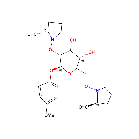 COc1ccc(O[C@@H]2OC(CON3CCC[C@H]3C=O)[C@@H](O)C(O)C2ON2CCC[C@H]2C=O)cc1